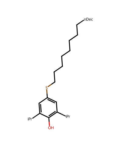 CCCCCCCCCCCCCCCCCCSc1cc(C(C)C)c(O)c(C(C)C)c1